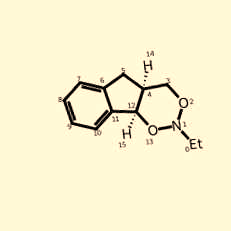 CCN1OC[C@@H]2Cc3ccccc3[C@@H]2O1